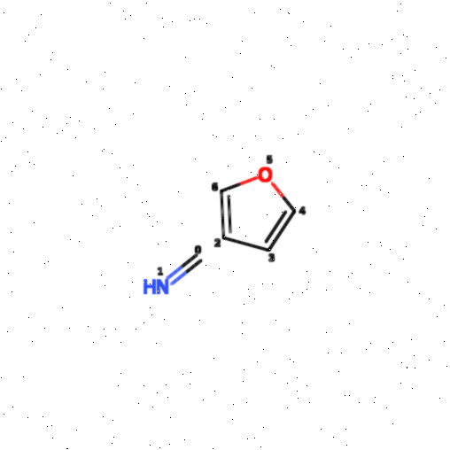 C=N.c1ccoc1